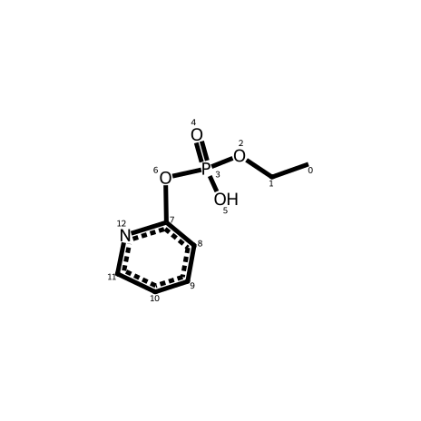 CCOP(=O)(O)Oc1ccccn1